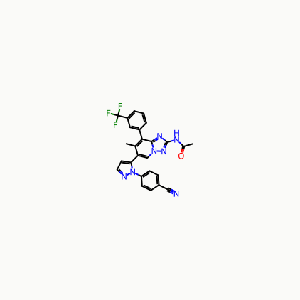 CC(=O)Nc1nc2c(-c3cccc(C(F)(F)F)c3)c(C)c(-c3ccnn3-c3ccc(C#N)cc3)cn2n1